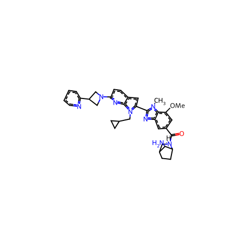 COc1cc(C(=O)N2CC3CCC2[C@@H]3N)cc2nc(-c3cc4ccc(N5CC(c6ccccn6)C5)nc4n3CC3CC3)n(C)c12